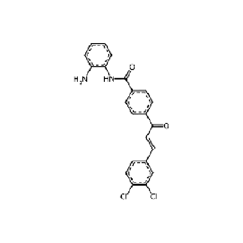 Nc1ccccc1NC(=O)c1ccc(C(=O)C=Cc2ccc(Cl)c(Cl)c2)cc1